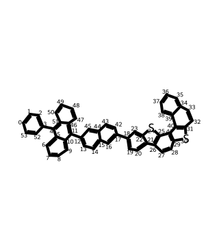 c1ccc(-c2c3ccccc3c(-c3ccc4cc(-c5ccc6c(c5)sc5c6ccc6sc7ccc8ccccc8c7c65)ccc4c3)c3ccccc23)cc1